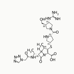 CC(NC(=O)Cn1cnnn1)[C@H]1C(=O)N2C(C(=O)O)=C(S[C@@H]3CN[C@H](C(=O)N4C[C@@H](CO)[C@H](NC(=N)N)C4)C3)[C@H](C)[C@H]12